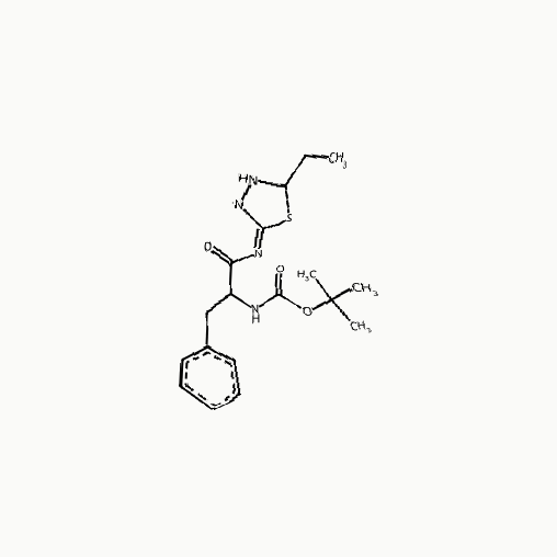 CCC1N[N]C(=NC(=O)C(Cc2ccccc2)NC(=O)OC(C)(C)C)S1